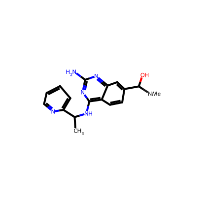 CNC(O)c1ccc2c(NC(C)c3ccccn3)nc(N)nc2c1